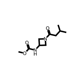 COC(=O)NC1CN(C(=O)CC(C)C)C1